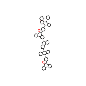 c1ccc(-c2ccccc2-c2c3ccccc3c(-c3ccc4c(c3)oc3c5ccccc5c5cc(-c6cc7ccc(-c8c9ccccc9c(-c9ccc%10c(c9)oc9c%11ccccc%11c%11ccccc%11c%109)c9ccccc89)cc7c7ccccc67)ccc5c43)c3ccccc23)cc1